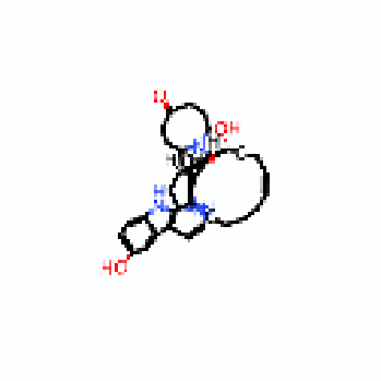 O=C1CCCN2[C@@H](CC1)C[C@]13CN4CCCC/C=C\CC[C@](O)(C=C(c5nccc6c5[nH]c5ccc(O)cc56)[C@@H]1CC4)[C@H]23